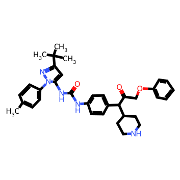 Cc1ccc(-n2nc(C(C)(C)C)cc2NC(=O)Nc2ccc(C(C(=O)COc3ccccc3)C3CCNCC3)cc2)cc1